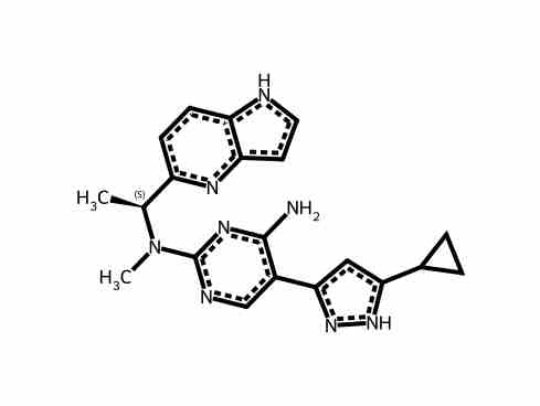 C[C@@H](c1ccc2[nH]ccc2n1)N(C)c1ncc(-c2cc(C3CC3)[nH]n2)c(N)n1